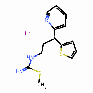 CSC(=N)NCCC(c1ccccn1)c1cccs1.I